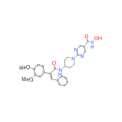 COc1ccc(C(=Cc2ccccc2)C(=O)NC2CCN(c3ncc(C(=O)NO)cn3)CC2)cc1OC